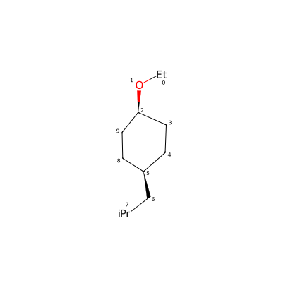 CCO[C@H]1CC[C@@H](CC(C)C)CC1